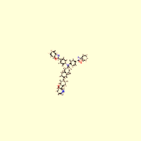 c1ccc2oc(-c3ccc(N(c4ccc(-c5nc6ccccc6o5)cc4)c4ccc5cc(-c6ccc7c(c6)oc6cccnc67)ccc5c4)cc3)nc2c1